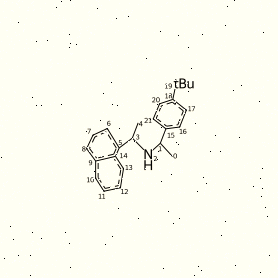 CC(NC(C)c1cccc2ccccc12)c1ccc(C(C)(C)C)cc1